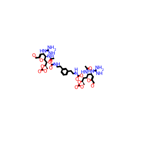 CC(=O)N[C@H]1[C@H]([C@H](OC(=O)NCCc2cccc(CCNC(=O)O[C@@H]([C@@H]3OC(C=O)=C[C@H](NC(=N)N)[C@H]3NC(C)=O)[C@H]3COC(=O)O3)c2)[C@H]2COC(=O)O2)OC(C=O)=C[C@@H]1NC(=N)N